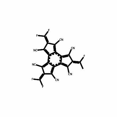 CC(F)=C1C(C#N)=c2c(c3c(c4c2=C(C#N)C(=C(F)F)C=4C#N)=C(C#N)C(=C(F)F)C=3C#N)=C1C#N